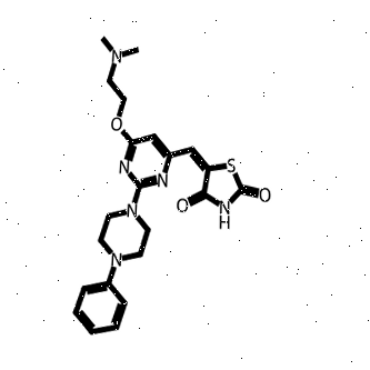 CN(C)CCOc1cc(C=C2SC(=O)NC2=O)nc(N2CCN(c3ccccc3)CC2)n1